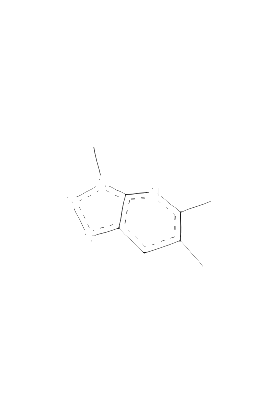 Cc1cc2nnn(C)c2nc1C